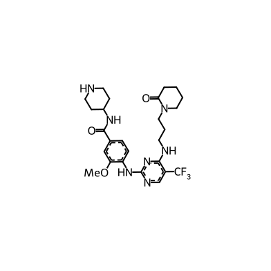 COc1cc(C(=O)NC2CCNCC2)ccc1Nc1ncc(C(F)(F)F)c(NCCCN2CCCCC2=O)n1